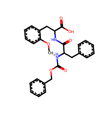 COc1ccccc1CC(NC(=O)C(Cc1ccccc1)NC(=O)OCc1ccccc1)C(=O)O